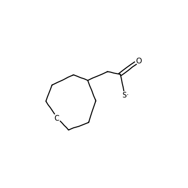 O=C([S])CC1CCCCCCC1